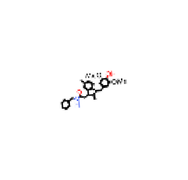 COc1cc(/C=C2\c3ccc(C)cc3C(CC(=O)NCc3ccccc3)C2C)cc(OC)c1O